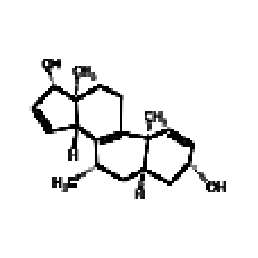 C[C@H]1C[C@@H]2C[C@@H](O)C=C[C@]2(C)C2=C1[C@@H]1C=C[C@H](O)[C@@]1(C)CC2